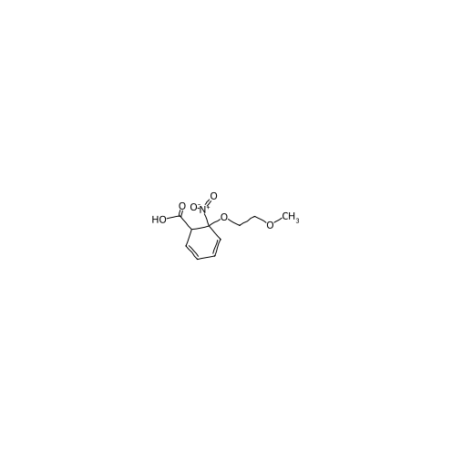 COCCOC1([N+](=O)[O-])C=CC=CC1C(=O)O